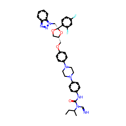 CCC(C)N(C=N)C(=O)Nc1ccc(N2CCN(c3ccc(OC[C@@H]4CO[C@@](Cn5nnc6ccccc65)(c5ccc(F)cc5F)O4)cc3)CC2)cc1